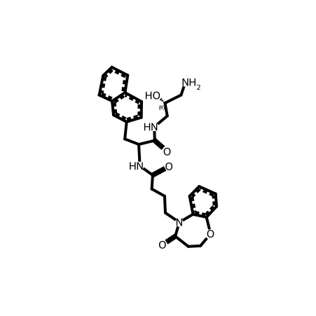 NC[C@@H](O)CNC(=O)C(Cc1ccc2ccccc2c1)NC(=O)CCCN1C(=O)CCOc2ccccc21